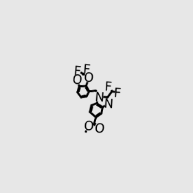 COC(=O)c1ccc2c(c1)nc(C(F)F)n2Cc1cccc2c1OC(F)(F)O2